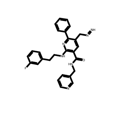 N=NCc1cc(C(=O)NCc2cccnc2)c(NCCc2cccc(F)c2)nc1-c1ccccc1